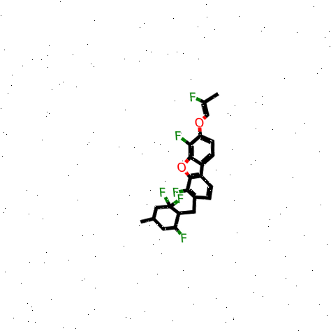 C/C(F)=C/Oc1ccc2c(oc3c(F)c(CC4C(F)CC(C)CC4(F)F)ccc32)c1F